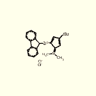 C[Si](C)=C1C=C(C(C)(C)C)C=[C]1[Zr+2][CH]1c2ccccc2-c2ccccc21.[Cl-].[Cl-]